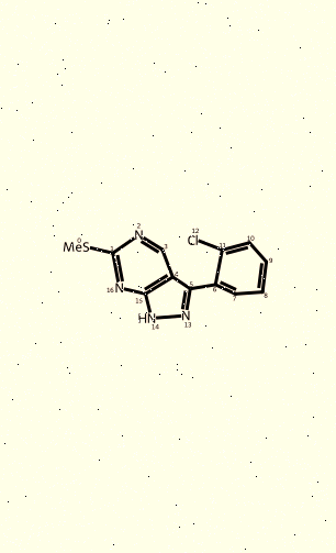 CSc1ncc2c(-c3ccccc3Cl)n[nH]c2n1